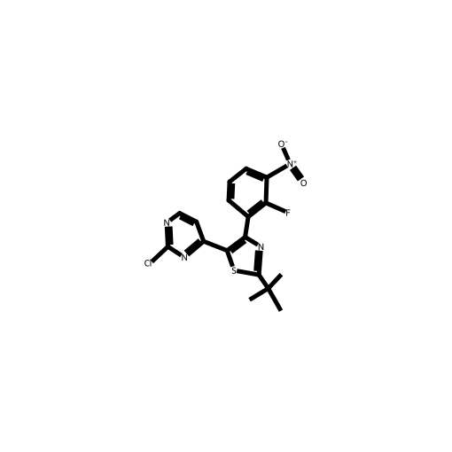 CC(C)(C)c1nc(-c2cccc([N+](=O)[O-])c2F)c(-c2ccnc(Cl)n2)s1